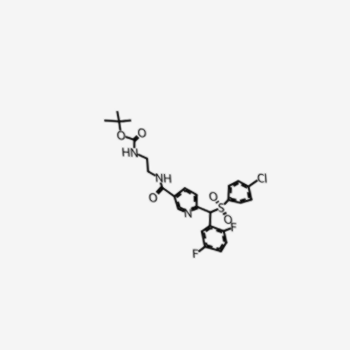 CC(C)(C)OC(=O)NCCNC(=O)c1ccc(C(c2cc(F)ccc2F)S(=O)(=O)c2ccc(Cl)cc2)nc1